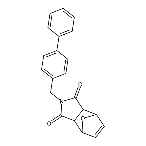 O=C1C2C3C=CC(O3)C2C(=O)N1Cc1ccc(-c2ccccc2)cc1